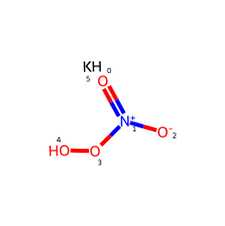 O=[N+]([O-])OO.[KH]